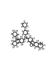 c1ccc(-c2ccc(N(c3ccc4c(c3)oc3cc5cccnc5cc34)c3ccc4c5ccccc5n(-c5ccccc5)c4c3)cc2)cc1